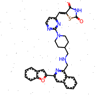 O=C1NC(=O)C(=Cc2ccnc(N3CCC(CNCc4nc(-c5cc6ccccc6o5)cc5ccccc45)CC3)n2)S1